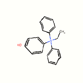 CC[N+](c1ccccc1)(c1ccccc1)c1ccccc1.[OH-]